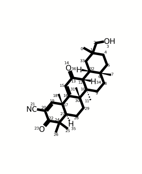 CC1(CO)CC[C@]2(C)CC[C@]3(C)[C@H](C(=O)C=C4[C@@]5(C)C=C(C#N)C(=O)C(C)(C)[C@@H]5CC[C@]43C)[C@@H]2C1